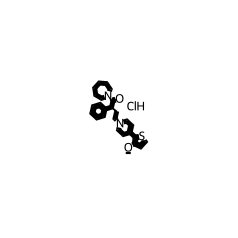 COc1ccsc1C1=CCN(CC[C@H](C(=O)N2CCCCCC2)c2ccccc2)CC1.Cl